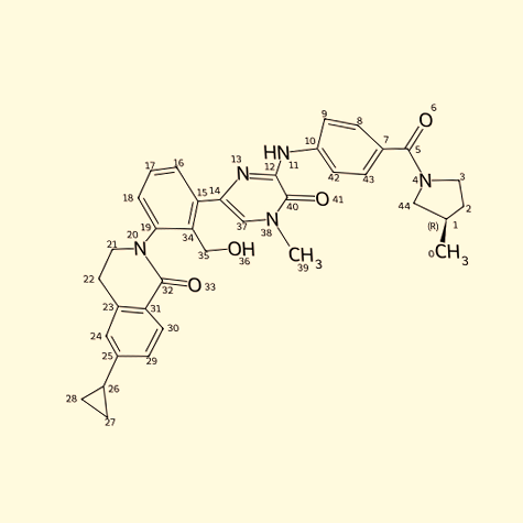 C[C@@H]1CCN(C(=O)c2ccc(Nc3nc(-c4cccc(N5CCc6cc(C7CC7)ccc6C5=O)c4CO)cn(C)c3=O)cc2)C1